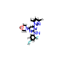 Cc1cc(C)n(-c2cc(N3CCOCC3)nc(Nc3ccc(F)cc3F)n2)n1